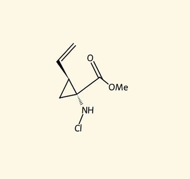 C=C[C@@H]1C[C@]1(NCl)C(=O)OC